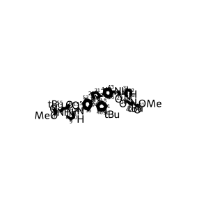 COC(=O)N[C@H](C(=O)N1CCC[C@H]1C(=O)Nc1ccc([C@H]2CC[C@H](c3ccc(NC(=O)[C@@H]4CCCN4C(=O)[C@@H](NC(=O)OC)C(C)(C)C)cc3)N2c2ccc(C(C)(C)C)cc2)cc1)C(C)(C)C